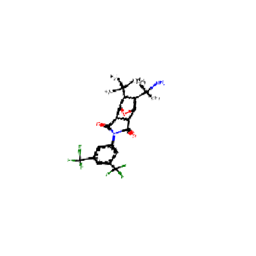 CC(C)(C)C1C2OC(C3C(=O)N(c4cc(C(F)(F)F)cc(C(F)(F)F)c4)C(=O)C23)C1C(C)(C)N